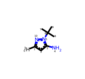 [2H]c1cc(N)n(C(C)(C)C)n1